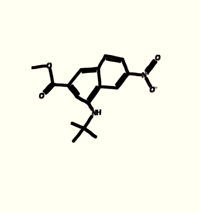 COC(=O)c1cc(NC(C)(C)C)c2cc([N+](=O)[O-])ccc2c1